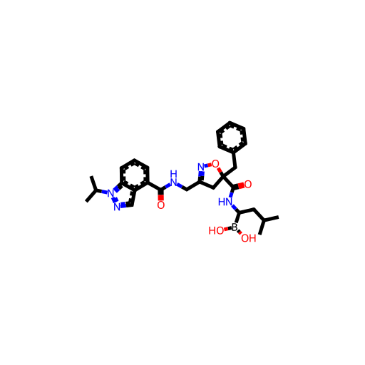 CC(C)CC(NC(=O)C1(Cc2ccccc2)CC(CNC(=O)c2cccc3c2cnn3C(C)C)=NO1)B(O)O